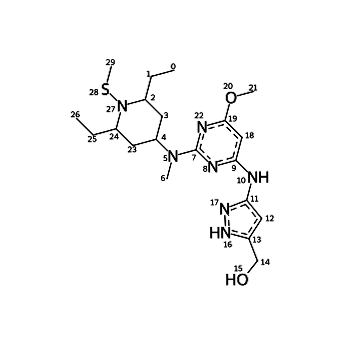 CCC1CC(N(C)c2nc(Nc3cc(CO)[nH]n3)cc(OC)n2)CC(CC)N1SC